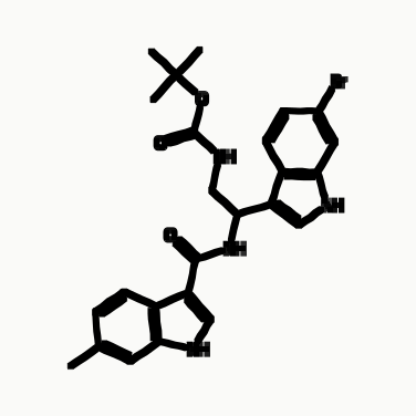 Cc1ccc2c(C(=O)NC(CNC(=O)OC(C)(C)C)c3c[nH]c4cc(Br)ccc34)c[nH]c2c1